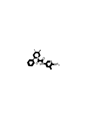 Cc1cc(NC(=O)C(=O)N2C[C@H](C)[C@@H](C)C[C@@H]2c2ccccc2)cnc1N